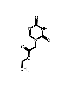 CCOC(=O)Cn1cnc(=O)[nH]c1=O